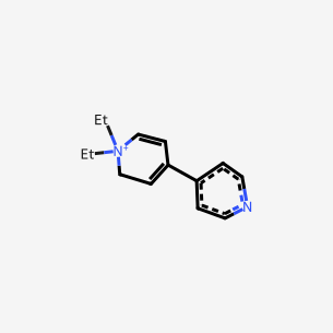 CC[N+]1(CC)C=CC(c2ccncc2)=CC1